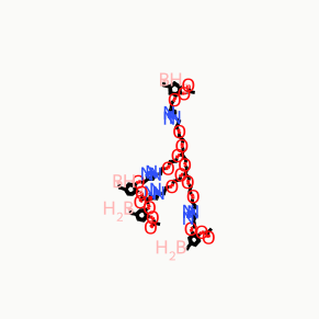 BCc1ccc(OC(C)=O)c(OCc2cn(CCOCCOCC(COCC(COCCOCCn3cc(COc4cc(CB)ccc4OC(C)=O)nn3)OCCOCCn3cc(COc4cc(CB)ccc4OC(C)=O)nn3)OCCOCCn3cc(COc4cc(CB)ccc4OC(C)=O)nn3)nn2)c1